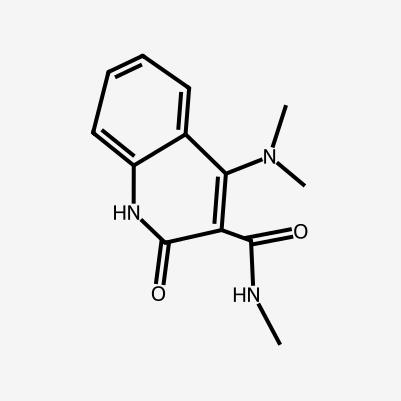 CNC(=O)c1c(N(C)C)c2ccccc2[nH]c1=O